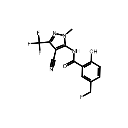 Cn1nc(C(F)(F)F)c(C#N)c1NC(=O)c1cc(CF)ccc1O